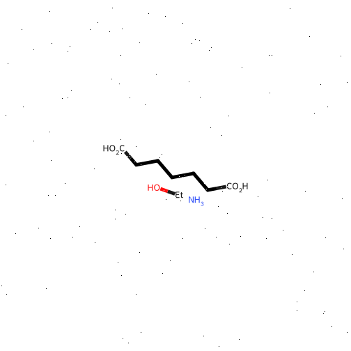 CCO.N.O=C(O)CCCCCC(=O)O